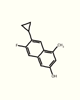 Cc1cc(O)cc2cc(F)c(C3CC3)cc12